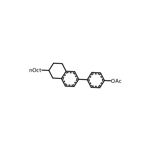 CCCCCCCCC1CCc2cc(-c3ccc(OC(C)=O)cc3)ccc2C1